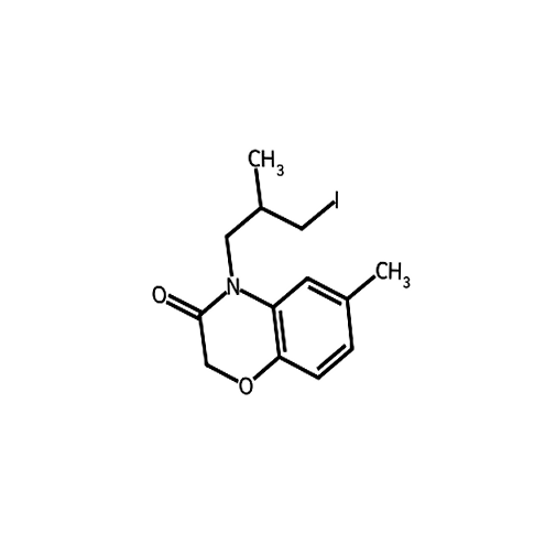 Cc1ccc2c(c1)N(CC(C)CI)C(=O)CO2